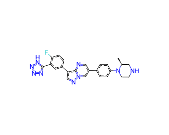 C[C@H]1CNCCN1c1ccc(-c2cnc3c(-c4ccc(F)c(-c5nnn[nH]5)c4)cnn3c2)cc1